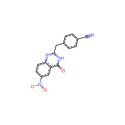 N#Cc1ccc(Cc2nc3ccc([N+](=O)[O-])cc3c(=O)[nH]2)cc1